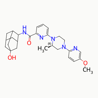 COc1ccc(N2CCN(c3cccc(C(=O)NC4C5CC6CC4CC(O)(C6)C5)n3)[C@H](C)C2)nc1